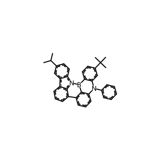 CC(C)c1ccc2c(c1)c1cccc3c1n2B1c2ccc(C(C)(C)C)cc2N(c2ccccc2)c2cccc-3c21